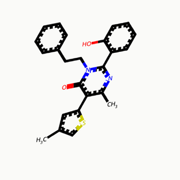 Cc1csc(-c2c(C)nc(-c3ccccc3O)n(CCc3ccccc3)c2=O)c1